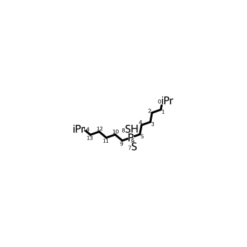 CC(C)CCCCCP(=S)(S)CCCCCC(C)C